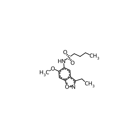 CCCCS(=O)(=O)Nc1cc2c(CC)noc2cc1OC